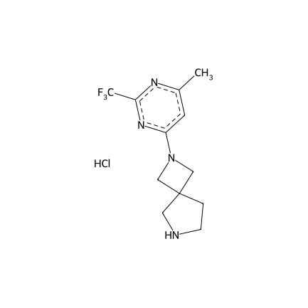 Cc1cc(N2CC3(CCNC3)C2)nc(C(F)(F)F)n1.Cl